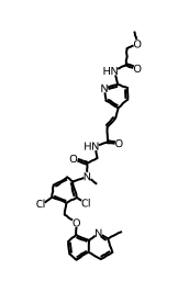 COCC(=O)Nc1ccc(/C=C/C(=O)NCC(=O)N(C)c2ccc(Cl)c(COc3cccc4ccc(C)nc34)c2Cl)cn1